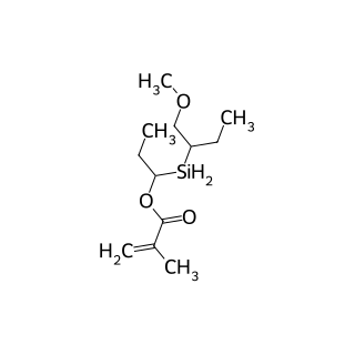 C=C(C)C(=O)OC(CC)[SiH2]C(CC)COC